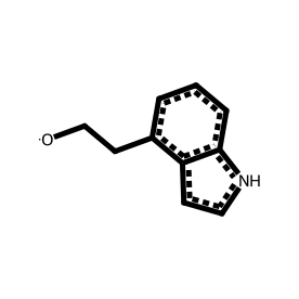 [O]CCc1cccc2[nH]ccc12